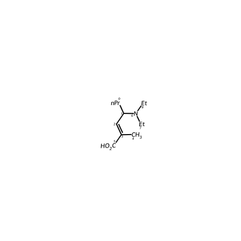 CCCC(C=C(C)C(=O)O)N(CC)CC